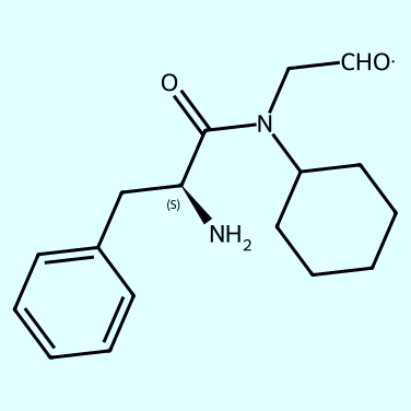 N[C@@H](Cc1ccccc1)C(=O)N(C[C]=O)C1CCCCC1